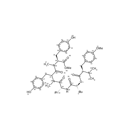 CC[C@@H](C)[C@H](OC(=O)[C@@H](Cc1ccc(OC)cc1)N(C)C)C(=O)N[C@@H](C(=O)N(C)C(Cc1ccc(O)cc1)C(=O)N(C)[C@@H](Cc1ccc(O)cc1)C(=O)OC)C(C)C